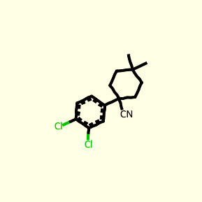 CC1(C)CCC(C#N)(c2ccc(Cl)c(Cl)c2)CC1